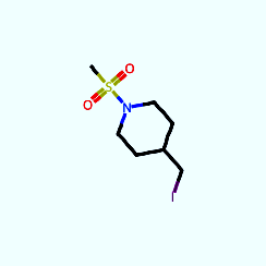 CS(=O)(=O)N1CCC(CI)CC1